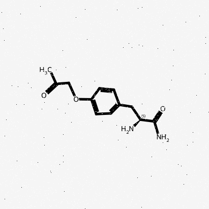 CC(=O)COc1ccc(C[C@H](N)C(N)=O)cc1